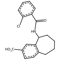 O=C(O)c1ccc2c(c1)C(NC(=O)c1ccccc1Cl)CCCC2